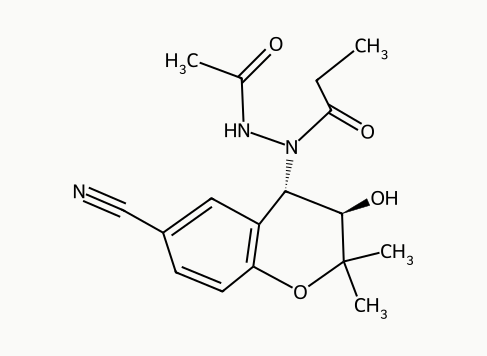 CCC(=O)N(NC(C)=O)[C@H]1c2cc(C#N)ccc2OC(C)(C)[C@@H]1O